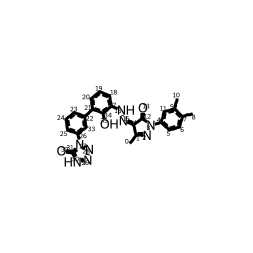 CC1=NN(c2ccc(C)c(C)c2)C(=O)C1=NNc1cccc(-c2cccc(-n3nn[nH]c3=O)c2)c1O